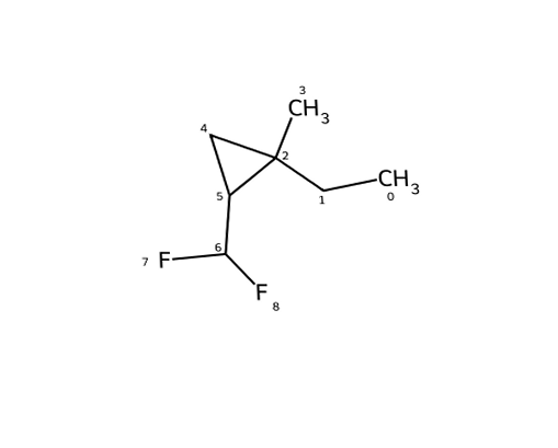 CCC1(C)CC1C(F)F